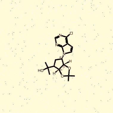 CC1(C)O[C@@H]2[C@H](O1)C(C(C)(C)O)C[C@H]2n1ccc2c(Cl)ncnc21